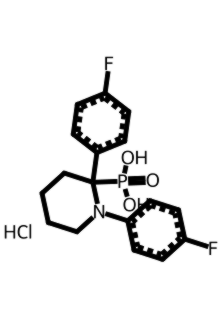 Cl.O=P(O)(O)C1(c2ccc(F)cc2)CCCCN1c1ccc(F)cc1